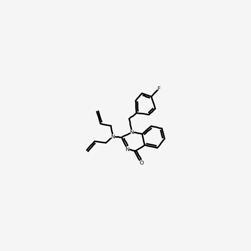 C=CCN(CC=C)c1nc(=O)c2ccccc2n1Cc1ccc(F)cc1